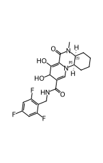 CN1C(=O)C2=C(O)C(O)C(C(=O)NCc3c(F)cc(F)cc3F)=CN2[C@@H]2CCCC[C@@H]21